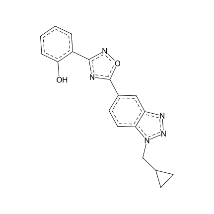 Oc1ccccc1-c1noc(-c2ccc3c(c2)nnn3CC2CC2)n1